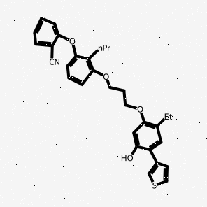 CCCc1c(OCCCOc2cc(O)c(-c3ccsc3)cc2CC)cccc1Oc1ccccc1C#N